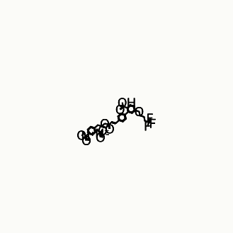 O=C(/C=C/c1ccc(-c2cc(OCCCC(F)(F)F)ccc2C(=O)O)cc1)OCCc1ccc([N+](=O)[O-])cc1[N+](=O)[O-]